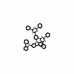 c1ccc(-c2nc(-c3ccccc3)nc(-c3ccc(-n4c5ccccc5c5ccc(-n6c7ccccc7c7ccccc76)cc54)c(-c4nc(-c5ccccc5)nc(-c5ccccc5)n4)c3)n2)cc1